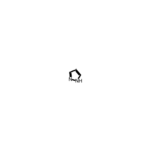 [c]1cn[nH]c1